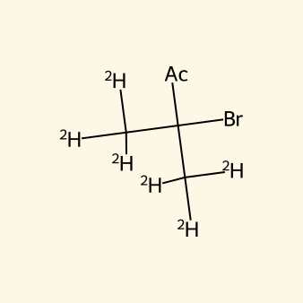 [2H]C([2H])([2H])C(Br)(C(C)=O)C([2H])([2H])[2H]